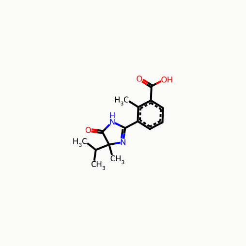 Cc1c(C(=O)O)cccc1C1=NC(C)(C(C)C)C(=O)N1